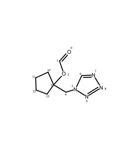 O=COC1(Cn2cnnn2)CCCC1